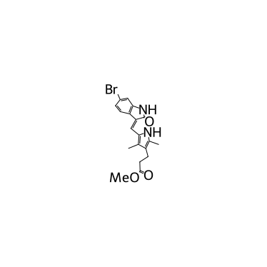 COC(=O)CCc1c(C)[nH]c(/C=C2\C(=O)Nc3cc(Br)ccc32)c1C